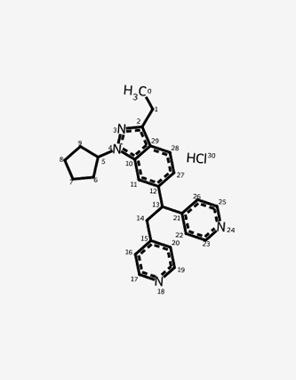 CCc1nn(C2CCCC2)c2cc(C(Cc3ccncc3)c3ccncc3)ccc12.Cl